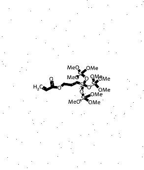 C=CC(=O)OCCC[Si](O[Si](OC)(OC)OC)(O[Si](OC)(OC)OC)O[Si](OC)(OC)OC